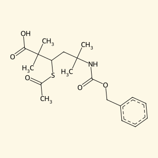 CC(=O)SC(CC(C)(C)NC(=O)OCc1ccccc1)C(C)(C)C(=O)O